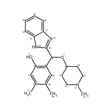 Cc1cc(O)c(C(OC2CCN(C)CC2)c2nc3ccccc3[nH]2)cc1C